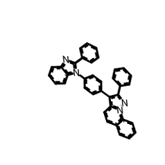 c1ccc(-c2nn3c(ccc4ccccc43)c2-c2ccc(-n3c(-c4ccccc4)nc4ccccc43)cc2)cc1